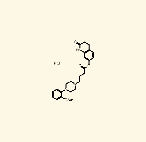 COc1ccccc1N1CCN(CCCC(=O)Oc2ccc3c(c2)NC(=O)CC3)CC1.Cl